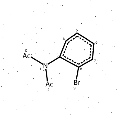 CC(=O)N(C(C)=O)c1ccccc1Br